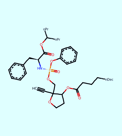 C#CC1(CO[P@@](=O)(N[C@@H](Cc2ccccc2)C(=O)OC(CCC)CCC)Oc2ccccc2)OCCC1OC(=O)CCCCCCCCCCCCC